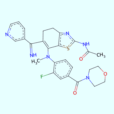 CC(=O)Nc1nc2c(s1)C(N(C)c1ccc(C(=O)N3CCOCC3)cc1F)=C(C(=N)c1cccnc1)CC2